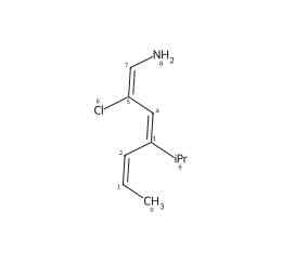 C\C=C/C(=C\C(Cl)=C/N)C(C)C